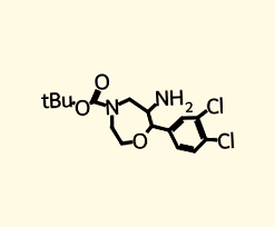 CC(C)(C)OC(=O)N1CCOC(c2ccc(Cl)c(Cl)c2)C(N)C1